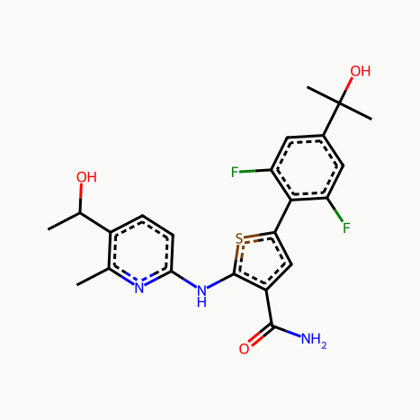 Cc1nc(Nc2sc(-c3c(F)cc(C(C)(C)O)cc3F)cc2C(N)=O)ccc1C(C)O